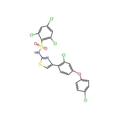 O=S(=O)(Nc1nc(-c2ccc(Oc3ccc(Cl)cc3)cc2Cl)cs1)c1c(Cl)cc(Cl)cc1Cl